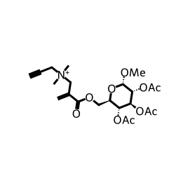 C#CC[N+](C)(C)CC(=C)C(=O)OC[C@H]1O[C@H](OC)[C@H](OC(C)=O)[C@@H](OC(C)=O)[C@@H]1OC(C)=O